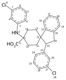 O=C(O)C1(Nc2cccc(Cl)c2)CCC2(CC1)c1ccccc1CC2c1cccc(Cl)c1